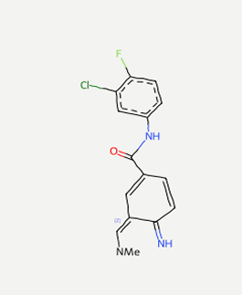 CN/C=C1/C=C(C(=O)Nc2ccc(F)c(Cl)c2)C=CC1=N